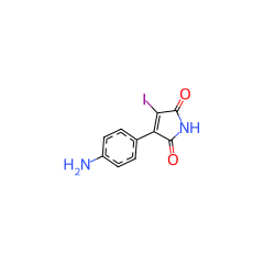 Nc1ccc(C2=C(I)C(=O)NC2=O)cc1